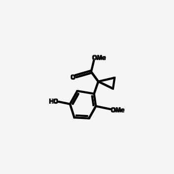 COC(=O)C1(c2cc(O)ccc2OC)CC1